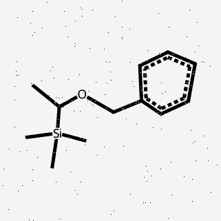 C[C](OCc1ccccc1)[Si](C)(C)C